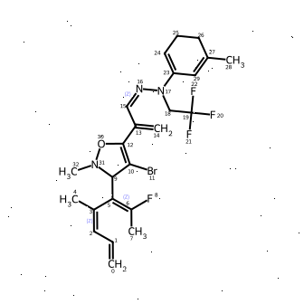 C=C/C=C(C)\C(=C(/C)F)C1C(Br)=C(C(=C)/C=N\N(CC(F)(F)F)C2=CCCC(C)=C2)ON1C